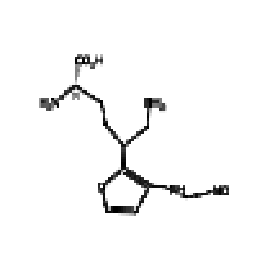 NCC(CC[C@H](N)C(=O)O)c1occc1NCN=O